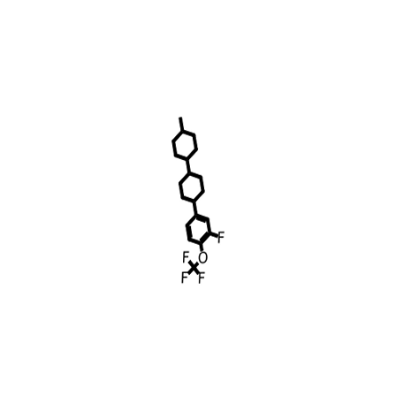 CC1CCC(C2CCC(c3ccc(OC(F)(F)F)c(F)c3)CC2)CC1